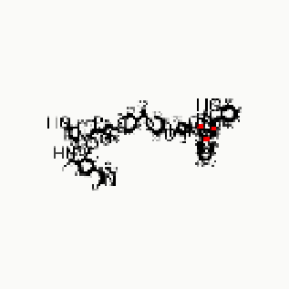 Cc1ncsc1-c1ccc([C@H](C)NC(=O)[C@@H]2C[C@@H](O)CN2C(=O)[C@@H](c2cc(N3CCC(C(C)N4CCC(O[C@H]5C[C@H](Oc6cc(N7C8CCC7CN(c7cc(-c9ccccc9O)nnc7N)C8)ccn6)C5)CC4)CC3)no2)C(C)C)cc1